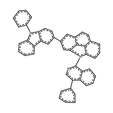 c1ccc(-c2cnc(-n3c4cccc5ccc6cc(-c7ccc8c(c7)c7ccccc7n8-c7ccccc7)cc3c6c54)c3ccccc23)cc1